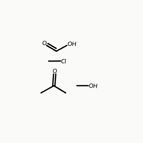 CC(C)=O.CCl.CO.O=CO